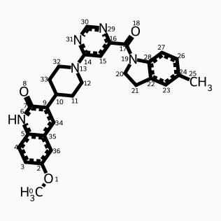 COc1ccc2[nH]c(=O)c(C3CCN(c4cc(C(=O)N5CCc6cc(C)ccc65)ncn4)CC3)cc2c1